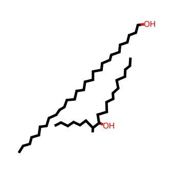 CCCCCCCCCCCC(O)C(C)CCCCCC.CCCCCCCCCCCCCCCCCCCCCCCCCCCCO